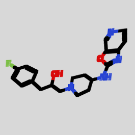 OC(Cc1ccc(F)cc1)CN1CCC(Nc2nc3ccncc3o2)CC1